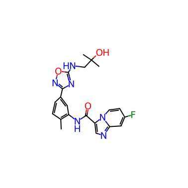 Cc1ccc(-c2noc(NCC(C)(C)O)n2)cc1NC(=O)c1cnc2cc(F)ccn12